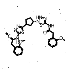 C=C=C(Cc1ccccc1OC)Nc1nnc(C2CC[C@H](N3NN=C(NC(=O)Cc4ccccc4OC)S3)C2)s1